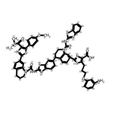 COc1ccc(-c2sc(-c3ccc4c(c3)N(C(=O)Nc3nc5ccc(C6CCN(C(=O)Nc7nc8ccccc8s7)c7cc(-c8nc(C(=O)O)c(CCCOc9cccc(N)c9)s8)ccc76)cc5s3)CCC4)nc2C(=O)N(C)C)cc1